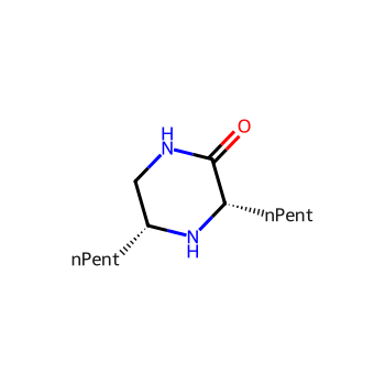 CCCCC[C@@H]1CNC(=O)[C@H](CCCCC)N1